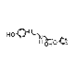 Oc1ccc(OCCNC[C@H](O)COc2ccsc2)cc1